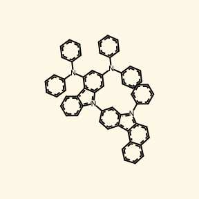 c1ccc(N(c2ccccc2)c2cc(N(c3ccccc3)c3ccccc3)c3c4ccccc4n(-c4ccc5c6c7ccccc7ccc6n(-c6ccccc6)c5c4)c3c2)cc1